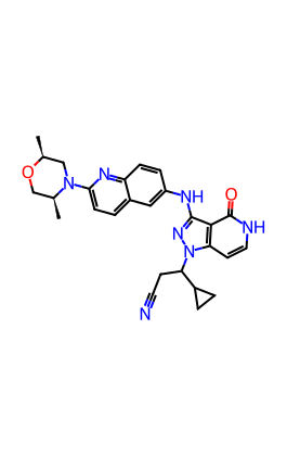 C[C@H]1CN(c2ccc3cc(Nc4nn(C(CC#N)C5CC5)c5cc[nH]c(=O)c45)ccc3n2)[C@@H](C)CO1